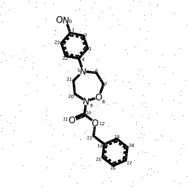 O=Nc1ccc(N2CCON(C(=O)OCc3ccccc3)CC2)cc1